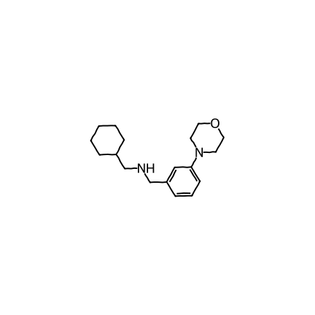 c1cc(CNCC2CCCCC2)cc(N2CCOCC2)c1